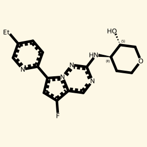 CCc1ccc(-c2cc(F)c3cnc(N[C@@H]4CCOC[C@H]4O)nn23)nc1